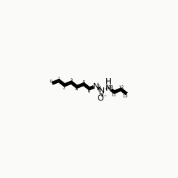 CCCCCCC/N=[N+](\[O-])NCCC